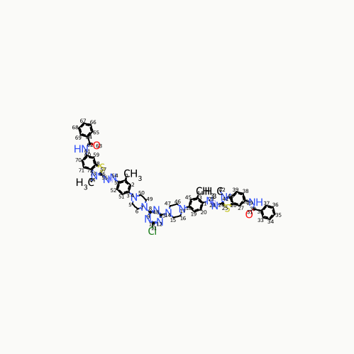 Cc1cc(N2CCN(c3nc(Cl)nc(N4CCN(c5ccc(/N=N/c6sc7cc(NC(=O)c8ccccc8)ccc7[n+]6C)c(C)c5)CC4)n3)CC2)ccc1/N=N/c1sc2cc(NC(=O)c3ccccc3)ccc2[n+]1C